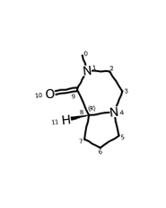 CN1CCN2CCC[C@@H]2C1=O